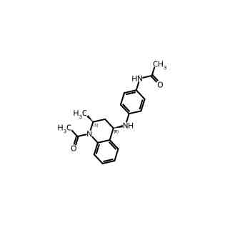 CC(=O)Nc1ccc(N[C@@H]2C[C@H](C)N(C(C)=O)c3ccccc32)cc1